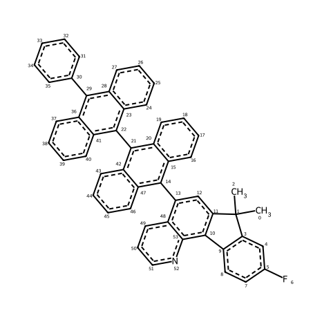 CC1(C)c2cc(F)ccc2-c2c1cc(-c1c3ccccc3c(-c3c4ccccc4c(-c4ccccc4)c4ccccc34)c3ccccc13)c1cccnc21